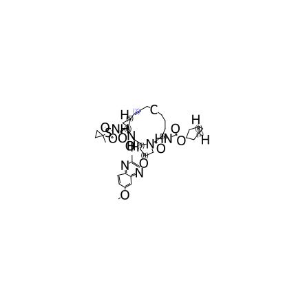 COc1ccc2nc(C)c(O[C@@H]3C[C@H]4C(=O)N[C@]5(C(=O)NS(=O)(=O)C6(C)CC6)C[C@H]5/C=C\CCCCC[C@H](NC(=O)OC5C[C@@H]6C[C@@H]6C5)C(=O)N4C3)nc2c1